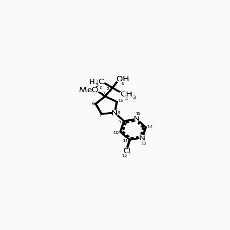 COC1(C(C)(C)O)CCN(c2cc(Cl)ncn2)C1